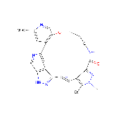 CCc1c2c(nn1C)C(=O)N(C)CCCOc1cnc(OC)cc1-c1cc3c(n[nH]c3cn1)/C=C/2